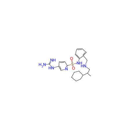 CC(CNCc1ccccc1NS(=O)(=O)c1ccc(NC(=N)N)cn1)C1CCCCC1